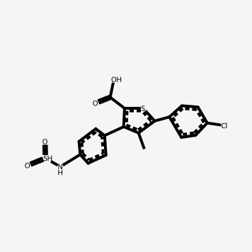 Cc1c(-c2ccc(Cl)cc2)sc(C(=O)O)c1-c1ccc(N[SH](=O)=O)cc1